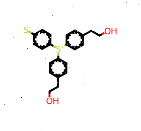 OCCc1ccc([S+](c2ccc([S-])cc2)c2ccc(CCO)cc2)cc1